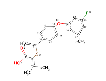 C=C(SC(C(=O)O)=C(C)C)c1ccc(Oc2cc(C)cc(F)c2)cc1